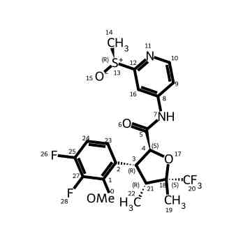 COc1c([C@@H]2[C@@H](C(=O)Nc3ccnc([S@+](C)[O-])c3)O[C@](C)(C(F)(F)F)[C@@H]2C)ccc(F)c1F